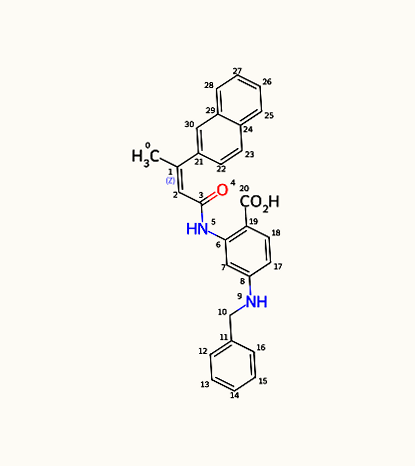 C/C(=C/C(=O)Nc1cc(NCc2ccccc2)ccc1C(=O)O)c1ccc2ccccc2c1